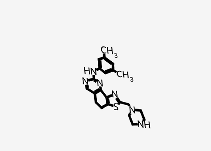 Cc1cc(C)cc(Nc2ncc3c(n2)-c2nc(CN4CCNCC4)sc2CC3)c1